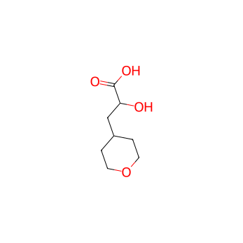 O=C(O)C(O)CC1CCOCC1